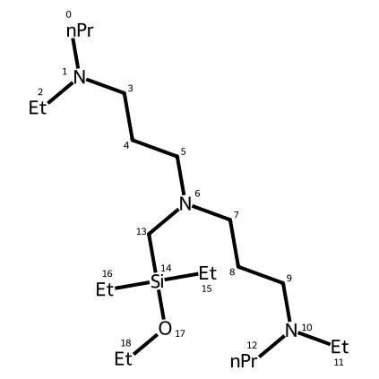 CCCN(CC)CCCN(CCCN(CC)CCC)C[Si](CC)(CC)OCC